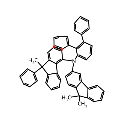 CC1(C)c2ccccc2-c2cc(N(c3cccc(-c4ccccc4)c3-c3ccccc3)c3cccc4c3-c3ccccc3C4(C)c3ccccc3)ccc21